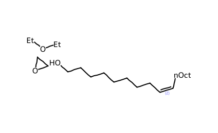 C1CO1.CCCCCCCC/C=C\CCCCCCCCO.CCOCC